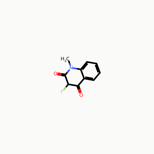 CN1C(=O)C(F)C(=O)c2ccccc21